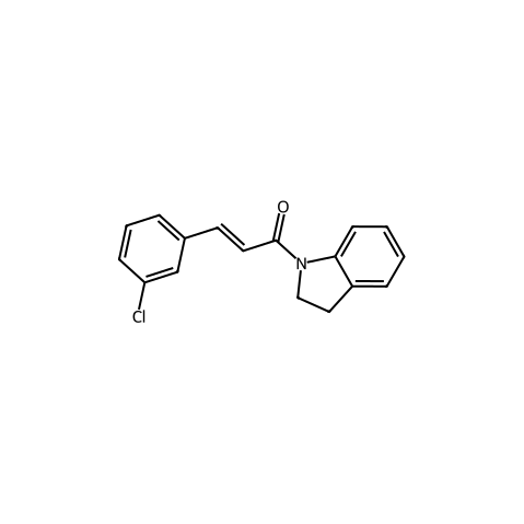 O=C(/C=C/c1cccc(Cl)c1)N1CCc2ccccc21